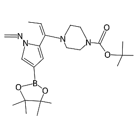 C=Nn1cc(B2OC(C)(C)C(C)(C)O2)cc1/C(=C\C)N1CCN(C(=O)OC(C)(C)C)CC1